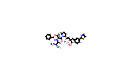 CC(OCc1ccccc1)[C@H](NC(=O)[C@H](C)N)C(=O)N1CCC[C@H]1/C=C/[C@](C)(CO)Cc1cccc(-c2nccs2)c1